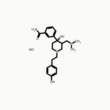 CN(C)CC1CN(CCc2ccc(O)cc2)CCC1(O)c1cccc(C(N)=O)c1.Cl